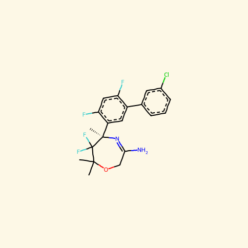 CC1(C)OCC(N)=N[C@](C)(c2cc(-c3cccc(Cl)c3)c(F)cc2F)C1(F)F